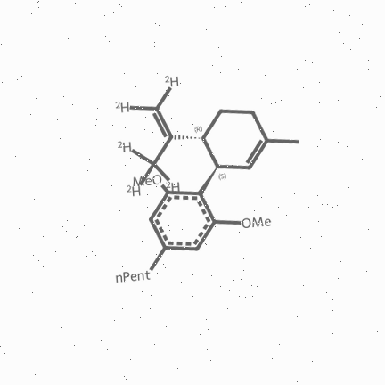 [2H]C([2H])=C([C@@H]1CCC(C)=C[C@H]1c1c(OC)cc(CCCCC)cc1OC)C([2H])([2H])[2H]